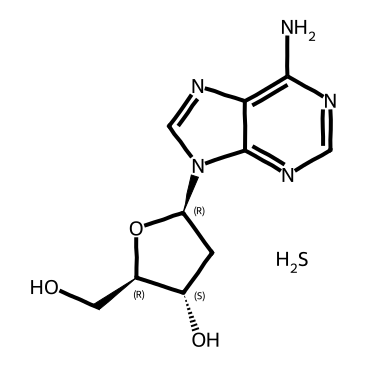 Nc1ncnc2c1ncn2[C@H]1C[C@H](O)[C@@H](CO)O1.S